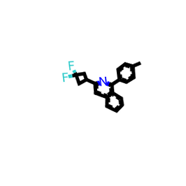 Cc1ccc(-c2nc(C3CC(F)(F)C3)cc3ccccc23)cc1